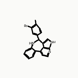 Cc1ccc(C2Nc3ccccc3-c3ccnc4[nH]cc2c34)cc1Br